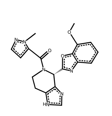 COc1cccc2nc([C@@H]3c4nc[nH]c4CCN3C(=O)c3ccnn3C)oc12